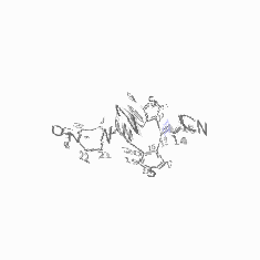 C[N+]1([O-])CCN(C2=Nc3cscc3/C(=C\C#N)c3cscc32)CC1